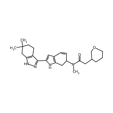 CN(C(=O)CC1CCCOC1)C1C=Cc2cc(-c3n[nH]c4c3CCC(C)(C)C4)[nH]c2C1